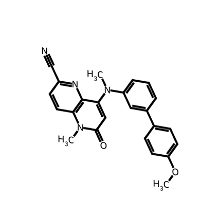 COc1ccc(-c2cccc(N(C)c3cc(=O)n(C)c4ccc(C#N)nc34)c2)cc1